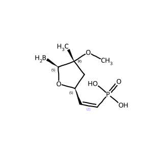 B[C@@H]1O[C@H](/C=C\P(=O)(O)O)C[C@@]1(C)OC